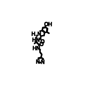 Cc1cc(O)cc(C)c1CC(N)C(=O)N[C@H](C)C(=O)NCCCc1cncnc1